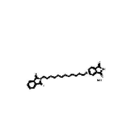 O=C1NC(=O)c2ccccc21.O=C1c2ccccc2C(=O)N1CCCCCCCCCCCCBr.[KH]